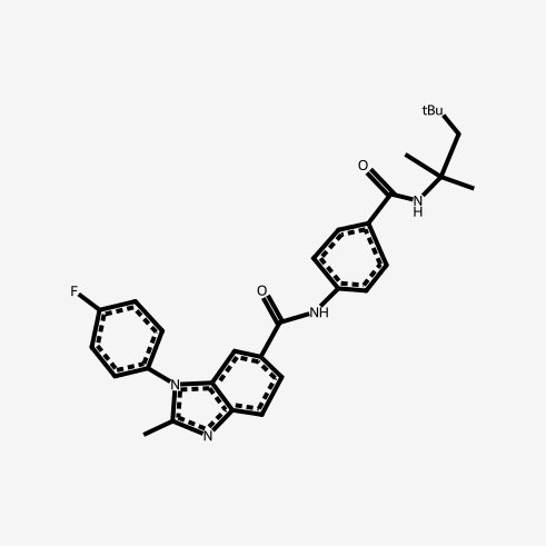 Cc1nc2ccc(C(=O)Nc3ccc(C(=O)NC(C)(C)CC(C)(C)C)cc3)cc2n1-c1ccc(F)cc1